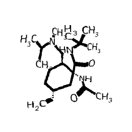 C=C[C@@H]1CC[C@@H](CN(C)C(C)C)[C@@](NC(C)=O)(C(=O)NC(C)(C)C)C1